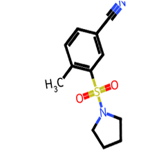 Cc1ccc(C#N)cc1S(=O)(=O)N1CCCC1